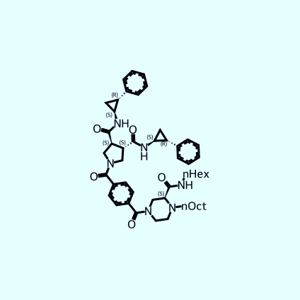 CCCCCCCCN1CCN(C(=O)c2ccc(C(=O)N3C[C@@H](C(=O)N[C@H]4C[C@@H]4c4ccccc4)[C@H](C(=O)N[C@H]4C[C@@H]4c4ccccc4)C3)cc2)C[C@H]1C(=O)NCCCCCC